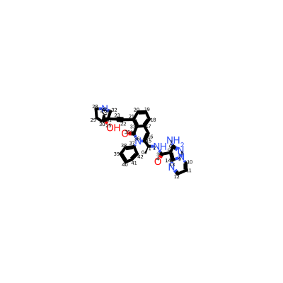 C[C@H](NC(=O)c1c(N)nn2cccnc12)c1cc2cccc(C#CC3(O)CN4CCC3CC4)c2c(=O)n1-c1ccccc1